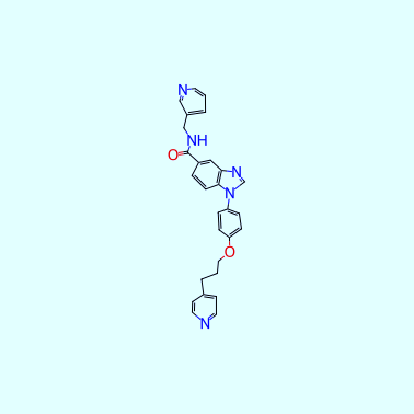 O=C(NCc1cccnc1)c1ccc2c(c1)ncn2-c1ccc(OCCCc2ccncc2)cc1